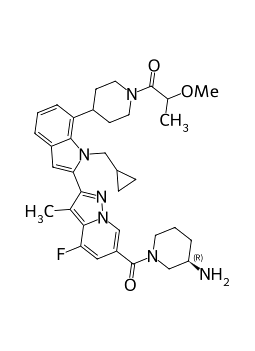 COC(C)C(=O)N1CCC(c2cccc3cc(-c4nn5cc(C(=O)N6CCC[C@@H](N)C6)cc(F)c5c4C)n(CC4CC4)c23)CC1